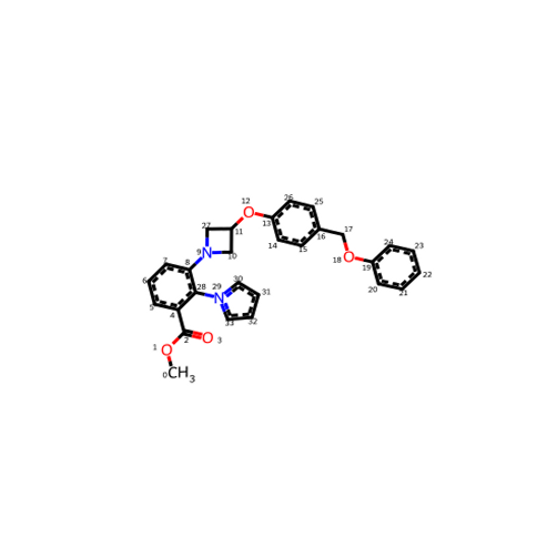 COC(=O)c1cccc(N2CC(Oc3ccc(COc4ccccc4)cc3)C2)c1-n1cccc1